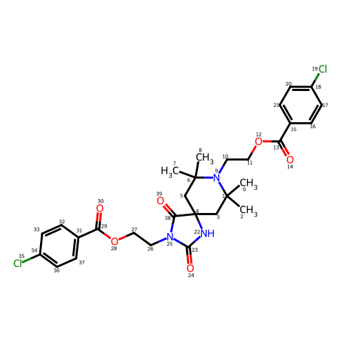 CC1(C)CC2(CC(C)(C)N1CCOC(=O)c1ccc(Cl)cc1)NC(=O)N(CCOC(=O)c1ccc(Cl)cc1)C2=O